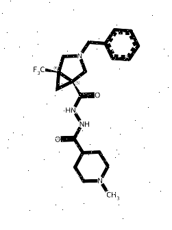 CN1CCC(C(=O)NNC(=O)[C@]23CN(Cc4ccccc4)C[C@@]2(C(F)(F)F)C3)CC1